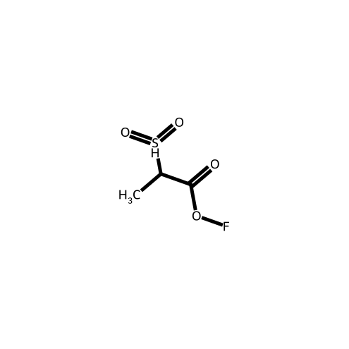 CC(C(=O)OF)[SH](=O)=O